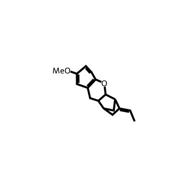 CC=C1CC2CC1C1Oc3ccc(OC)cc3CC21